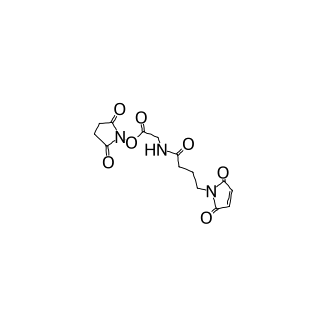 O=C(CCCN1C(=O)C=CC1=O)NCC(=O)ON1C(=O)CCC1=O